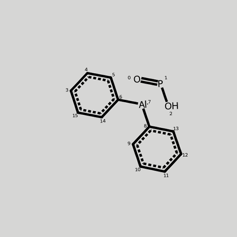 O=PO.c1cc[c]([Al][c]2ccccc2)cc1